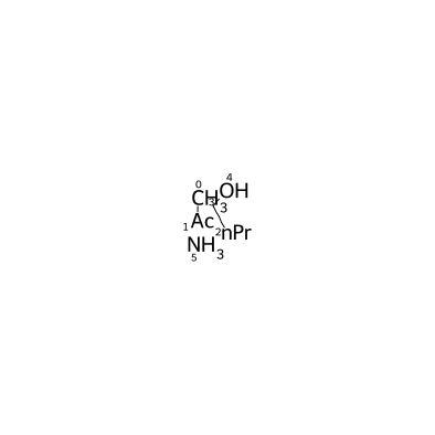 CC(C)=O.CCCCO.N